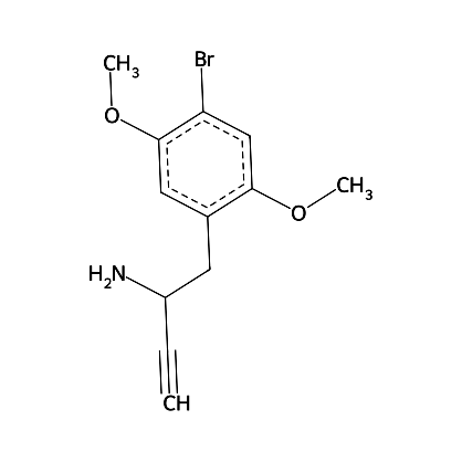 C#CC(N)Cc1cc(OC)c(Br)cc1OC